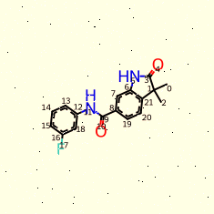 CC1(C)C(=O)Nc2cc(C(=O)Nc3cccc(F)c3)ccc21